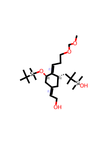 COCOCC/C=C1\[C@H](CC(C)(C)[Si](C)(C)O)C/C(=C\CO)C[C@H]1O[Si](C)(C)C(C)(C)C